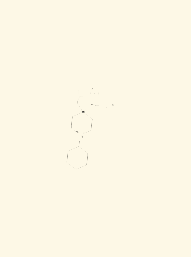 CC(=O)OCC1(COC(C)=O)CCN(C2CCCCC2)CC1